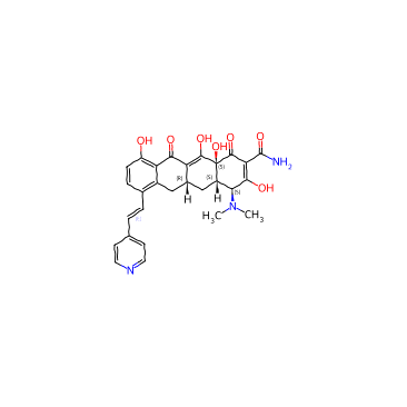 CN(C)[C@@H]1C(O)=C(C(N)=O)C(=O)[C@@]2(O)C(O)=C3C(=O)c4c(O)ccc(/C=C/c5ccncc5)c4C[C@H]3C[C@@H]12